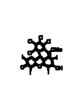 COC(=O)c1c(Cl)c(Cl)c(Cl)c(Cl)c1-c1c2cc(I)c(=O)c(I)c-2oc2c(I)c(O)c(I)cc12